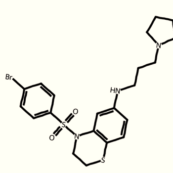 O=S(=O)(c1ccc(Br)cc1)N1CCSc2ccc(NCCCN3CCCC3)cc21